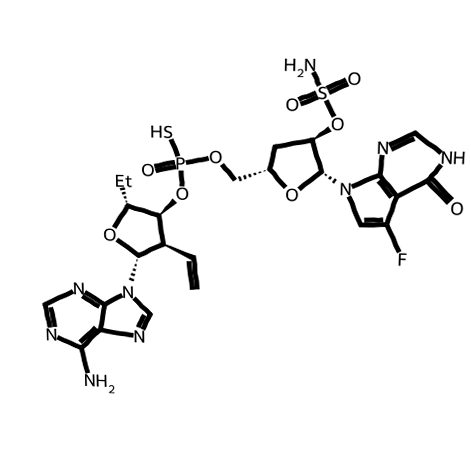 C=C[C@@H]1[C@H](OP(=O)(S)OC[C@@H]2C[C@@H](OS(N)(=O)=O)[C@H](n3cc(F)c4c(=O)[nH]cnc43)O2)[C@@H](CC)O[C@H]1n1cnc2c(N)ncnc21